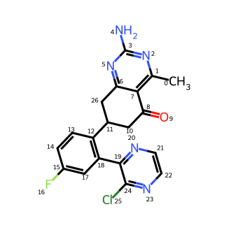 Cc1nc(N)nc2c1C(=O)CC(c1ccc(F)cc1-c1nccnc1Cl)C2